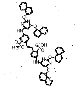 O=S(=O)(O)c1cc(Nc2cc(Oc3cccc4ccccc34)nc(Oc3cccc4ccccc34)n2)ccc1C=Cc1ccc(Nc2cc(Oc3cccc4ccccc34)nc(Oc3cccc4ccccc34)n2)cc1S(=O)(=O)O